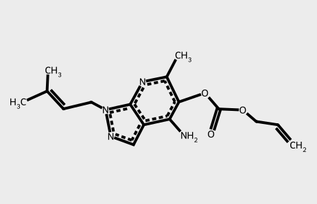 C=CCOC(=O)Oc1c(C)nc2c(cnn2CC=C(C)C)c1N